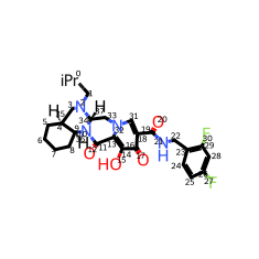 CC(C)CN1C[C@@H]2CCCC[C@@H]2N2C(=O)c3c(O)c(=O)c(C(=O)NCc4ccc(F)cc4F)cn3C[C@@H]12